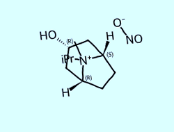 CC(C)[N+]1(C)[C@@H]2CC[C@H]1C[C@@H](O)C2.O=N[O-]